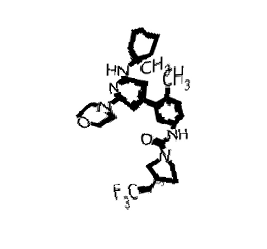 Cc1ccc(NC(=O)N2CC[C@@H](CC(F)(F)F)C2)cc1-c1cc(NC2(C)CCCCC2)nc(N2CCOCC2)c1